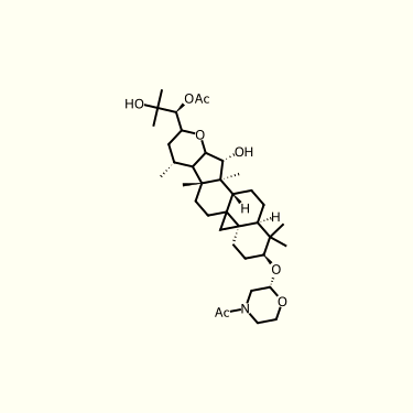 CC(=O)O[C@@H](C1C[C@@H](C)C2C(O1)[C@H](O)[C@@]1(C)[C@@H]3CC[C@H]4C(C)(C)[C@@H](O[C@H]5CN(C(C)=O)CCO5)CC[C@@]45CC35CC[C@]21C)C(C)(C)O